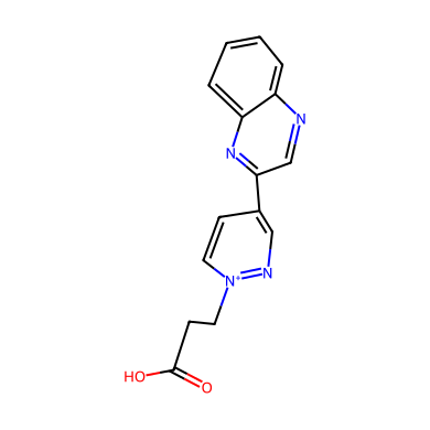 O=C(O)CC[n+]1ccc(-c2cnc3ccccc3n2)cn1